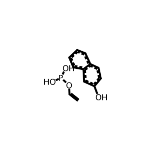 C=COP(O)O.Oc1ccc2ccccc2c1